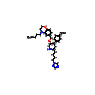 COCCCN1CCOc2ccc(CO[C@H]3CN[C@H](CCCCn4cncn4)C[C@@H]3c3ccc(OC)cc3)cc21